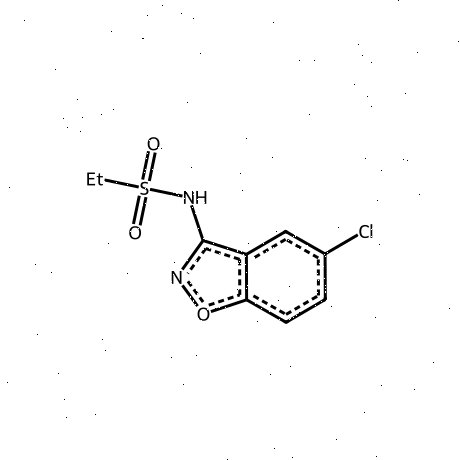 CCS(=O)(=O)Nc1noc2ccc(Cl)cc12